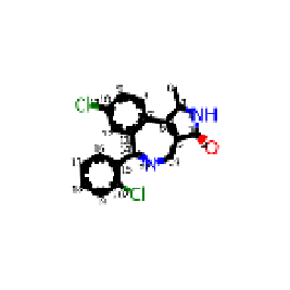 CC1NC(=O)C2=C1c1ccc(Cl)cc1C(c1ccccc1Cl)=NC2